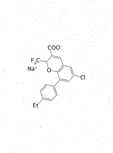 CCc1ccc(-c2cc(Cl)cc3c2OC(C(F)(F)F)C(C(=O)[O-])=C3)cc1.[Na+]